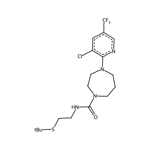 CC(C)(C)SCCNC(=O)N1CCCN(c2ncc(C(F)(F)F)cc2Cl)CC1